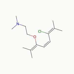 CC(C)=C(Cl)/C=C\C(OCCN(C)C)=C(C)C